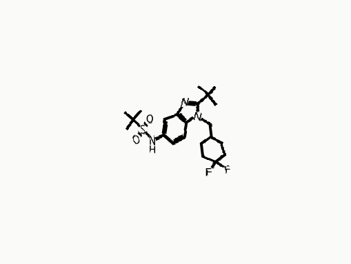 CC(C)(C)c1nc2cc(NS(=O)(=O)C(C)(C)C)ccc2n1CC1CCC(F)(F)CC1